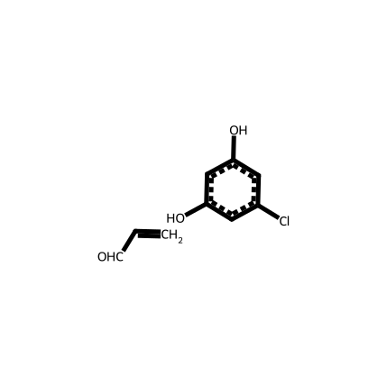 C=CC=O.Oc1cc(O)cc(Cl)c1